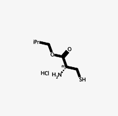 CC(C)COC(=O)[C@@H](N)CS.Cl